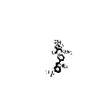 CCn1c(C2CCCN(C(=O)c3cn(C)nc3NC)C2)cc2cc(C)ccc21